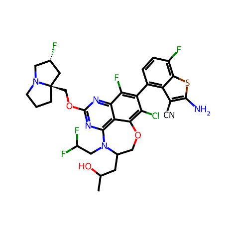 CC(O)CC1COc2c(Cl)c(-c3ccc(F)c4sc(N)c(C#N)c34)c(F)c3nc(OC[C@@]45CCCN4C[C@H](F)C5)nc(c23)N1CC(F)F